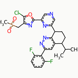 CC(C)C1CCC(c2cncc(-c3nc(CS(C)(=O)=O)c(Cl)o3)n2)c2nnc(-c3c(F)cccc3F)cc21